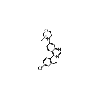 C[C@H]1COCCN1c1ccc2c(-c3c[c]c(Cl)cc3F)ncnc2c1